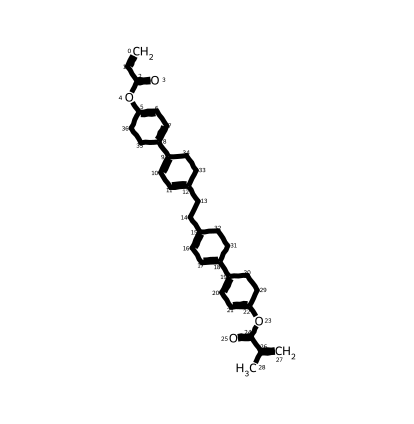 C=CC(=O)OC1=CC=C(C2=CC=C(CCC3=CC=C(C4=CC=C(OC(=O)C(=C)C)CC4)CC3)CC2)CC1